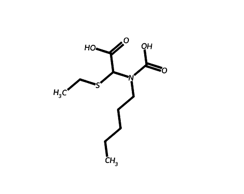 CCCCCN(C(=O)O)C(SCC)C(=O)O